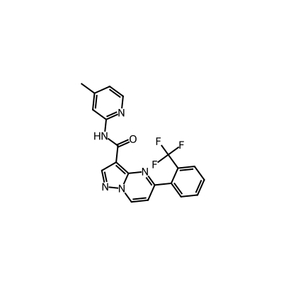 Cc1ccnc(NC(=O)c2cnn3ccc(-c4ccccc4C(F)(F)F)nc23)c1